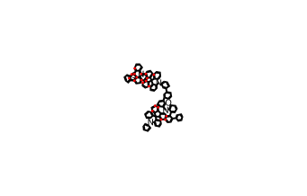 c1ccc(-c2ccccc2-c2ccccc2N(c2cccc3c2-c2ccccc2C32c3ccccc3N(c3ccccc3)c3ccccc32)c2cccc3c2oc2ccc(-c4cccc(N5c6ccccc6C6(c7ccccc7-c7c(N(c8ccccc8-c8ccccc8-c8ccccc8)c8cccc9c8sc8ccccc89)cccc76)c6ccccc65)c4)cc23)cc1